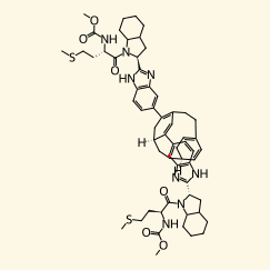 COC(=O)N[C@@H](CCSC)C(=O)N1C2CCCCC2C[C@H]1c1nc2cc(C3=CC4=C(c5ccc6[nH]c([C@@H]7CC8CCCCC8N7C(=O)[C@H](CCSC)NC(=O)OC)nc6c5)C[C@@H]3CC[C@@H]3C=CC(=CC3)CC4)ccc2[nH]1